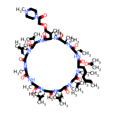 C=C(C)O[C@H]([C@H](C)C/C=C/C)[C@H]1C(=O)N[C@@H](CC)C(=O)N(C)[C@H](C)C(=O)N(C)[C@@H]([C@H](C)COCC(=O)N2CCN(C)CC2)C(=O)N[C@@H](C(C)C)C(=O)N(C)[C@@H](CC(C)C)C(=O)N[C@@H](C)C(=O)N[C@H](C)C(=O)N(C)[C@@H](CC(C)C)C(=O)N(C)[C@@H](CC(C)C)C(=O)N(C)[C@@H](C(C)C)C(=O)N1C